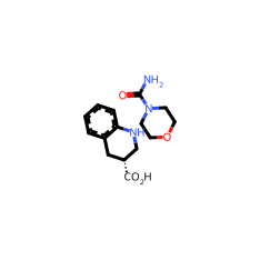 NC(=O)N1CCOCC1.O=C(O)[C@H]1CNc2ccccc2C1